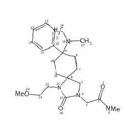 CNC(=O)CN1CC2(CCC(c3ccccc3)(N(C)C)CC2)N(CCOC)C1=O